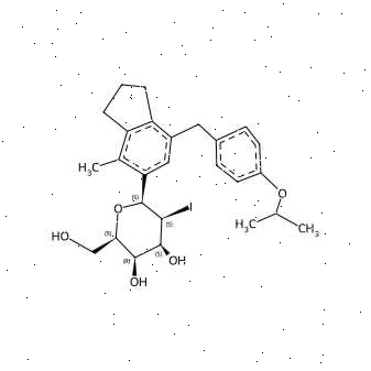 Cc1c([C@@H]2O[C@H](CO)[C@H](O)[C@H](O)[C@@H]2I)cc(Cc2ccc(OC(C)C)cc2)c2c1CCC2